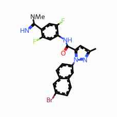 CNC(=N)c1cc(F)c(NC(=O)c2cc(C)nn2-c2ccc3cc(Br)ccc3c2)cc1F